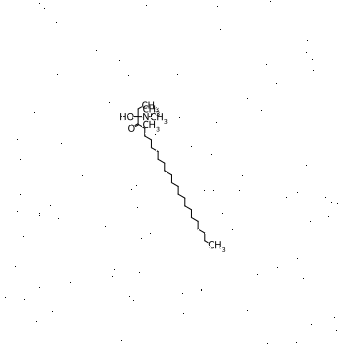 CCCCCCCCCCCCCCCCCCCCCC(=O)C(O)(CC)[N+](C)(C)C